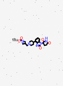 Cn1c(=O)n(C2CCC(=O)NC2=O)c2cccc(C3CCN(CC4CN(C(=O)OC(C)(C)C)C4)CC3)c21